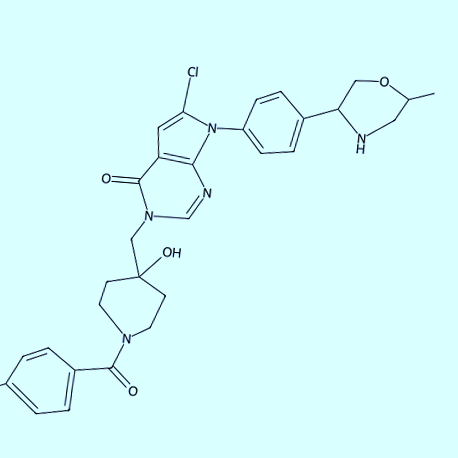 CC1CNC(c2ccc(-n3c(Cl)cc4c(=O)n(CC5(O)CCN(C(=O)c6ccc(F)cc6)CC5)cnc43)cc2)CO1